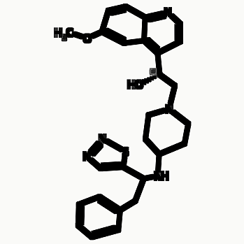 COc1ccc2nccc([C@@H](O)CN3CCC(NC(Cc4ccccc4)c4cnns4)CC3)c2c1